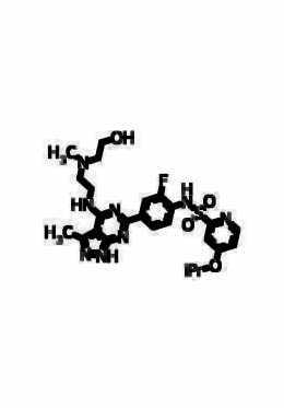 Cc1n[nH]c2nc(-c3ccc(NS(=O)(=O)c4cc(OC(C)C)ccn4)c(F)c3)nc(NCCN(C)CCO)c12